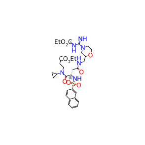 CCOC(=O)CCN(C(=O)[C@H](CC(=O)NCC1CN(C(=N)NC(=O)OCC)CCO1)NS(=O)(=O)c1ccc2ccccc2c1)C1CC1